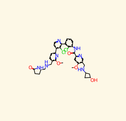 COc1cc(C(=O)Nc2cccc(-c3nccc(-c4ccc(CNC[C@H]5CCC(=O)N5)c(OC)n4)c3Cl)c2Cl)ncc1CNC1CC(O)C1